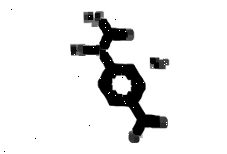 CC(=O)N(S)c1ccc(C(=O)[O-])cc1.[Na+]